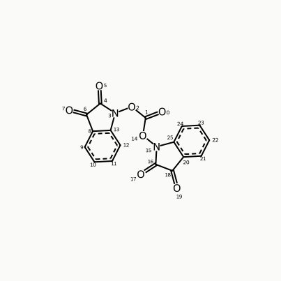 O=C(ON1C(=O)C(=O)c2ccccc21)ON1C(=O)C(=O)c2ccccc21